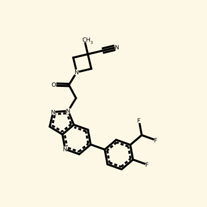 CC1(C#N)CN(C(=O)Cn2ncc3ncc(-c4ccc(F)c(C(F)F)c4)cc32)C1